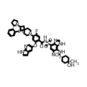 CC(C)c1ccccc1[C@@H]1CCCN1C1CC2(CCN(c3cc(Oc4cnc5[nH]ccc5c4)c(C(=O)NS(=O)(=O)c4cc([N+](=O)[O-])c(NC[C@H]5CC[C@](C)(O)CC5)c5[nH]cnc45)cc3F)CC2)C1